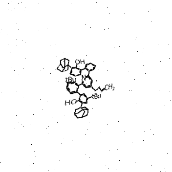 C=CCCc1cc(-c2ccccc2-c2cc(C(C)(C)C)cc(C34CC5CC(CC(C5)C3)C4)c2O)nc(-c2ccccc2-c2cc(C(C)(C)C)cc(C34CC5CC(CC(C5)C3)C4)c2O)c1